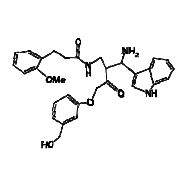 COc1ccccc1CCC(=O)NCC(C(=O)COc1cccc(CO)c1)C(N)c1c[nH]c2ccccc12